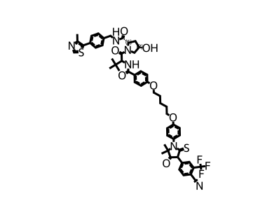 Cc1ncsc1-c1ccc(CNC(=O)[C@@H]2C[C@@H](O)CN2C(=O)C(NC(=O)c2ccc(OCCCCCOc3ccc(N4C(=S)C(c5ccc(C#N)c(C(F)(F)F)c5)C(=O)C4(C)C)cc3)cc2)C(C)(C)C)cc1